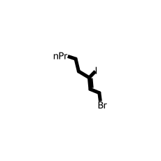 CCCCCC(I)=CCBr